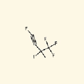 CC(F)(C#CF)C(F)(F)F